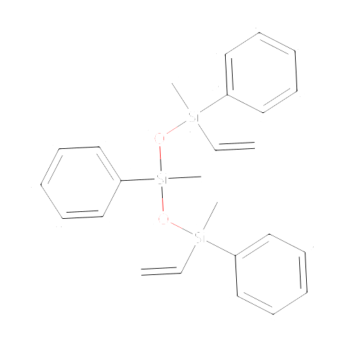 C=C[Si](C)(O[Si](C)(O[Si](C)(C=C)c1ccccc1)c1ccccc1)c1ccccc1